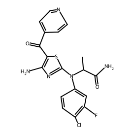 CC(C(N)=O)N(c1ccc(Cl)c(F)c1)c1nc(N)c(C(=O)c2ccncc2)s1